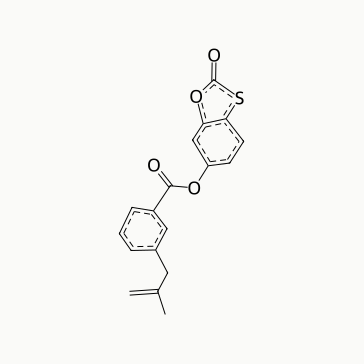 C=C(C)Cc1cccc(C(=O)Oc2ccc3sc(=O)oc3c2)c1